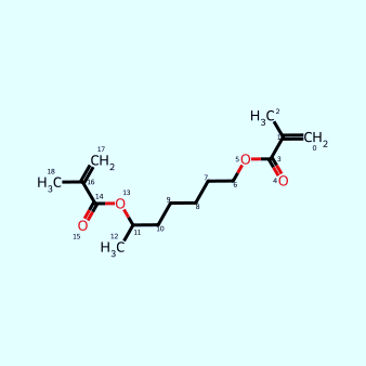 C=C(C)C(=O)OCCCCCC(C)OC(=O)C(=C)C